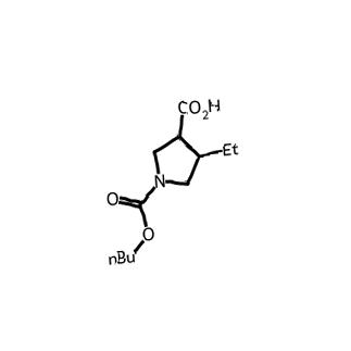 CCCCOC(=O)N1CC(CC)C(C(=O)O)C1